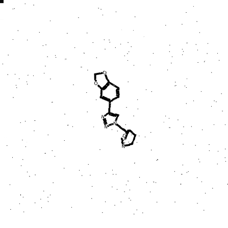 c1cc2c(cc1-c1cn(C3CN4CCC3CC4)nn1)OCO2